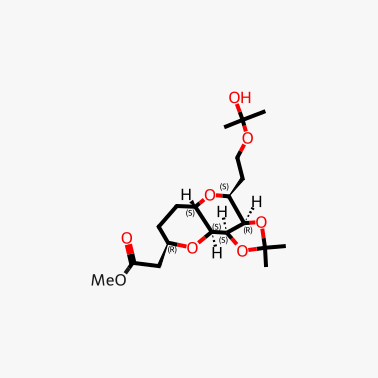 COC(=O)C[C@H]1CC[C@@H]2O[C@@H](CCOC(C)(C)O)[C@H]3OC(C)(C)O[C@H]3[C@H]2O1